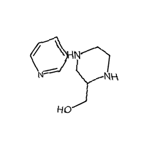 OCC1CNCCN1.c1ccncc1